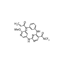 C=CC(=O)Nc1cccc(Nc2nc(Nc3ccc(OC)nc3)ncc2C(=O)NC(F)(F)F)c1